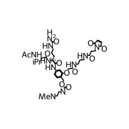 CNCCN(C)C(=O)OCc1ccc(NC(=O)[C@H](CCCNC(N)=O)NC(=O)C(NC(C)=O)C(C)C)cc1OCC(=O)NCCCNC(=O)CCN1C(=O)C=CC1=O